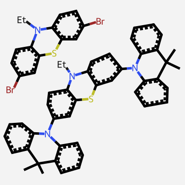 CCN1c2ccc(Br)cc2Sc2cc(Br)ccc21.CCN1c2ccc(N3c4ccccc4C(C)(C)c4ccccc43)cc2Sc2cc(N3c4ccccc4C(C)(C)c4ccccc43)ccc21